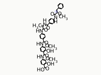 CO/C(=C\c1ccccc1)C(=O)Nc1ccc(C(=O)N[C@@H](C)C(=O)Nc2ccc(C(=O)Nc3ccc(C(=O)Nc4ccc(C(=O)O)c(O)c4OC)c(O)c3OC)cc2)cc1